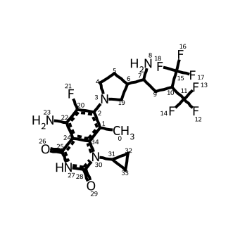 Cc1c(N2CCC(C(N)CC(C(F)(F)F)C(F)(F)F)C2)c(F)c(N)c2c(=O)[nH]c(=O)n(C3CC3)c12